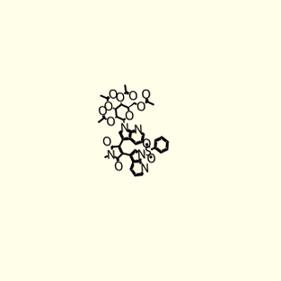 CC(=O)OC[C@H]1O[C@@H](n2cc(C3=C(c4cn(S(=O)(=O)c5ccccc5)c5ncccc45)C(=O)N(C)C3=O)c3cccnc32)[C@H](OC(C)=O)[C@@H](OC(C)=O)[C@@H]1OC(C)=O